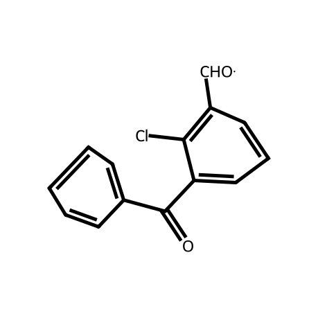 O=[C]c1cccc(C(=O)c2ccccc2)c1Cl